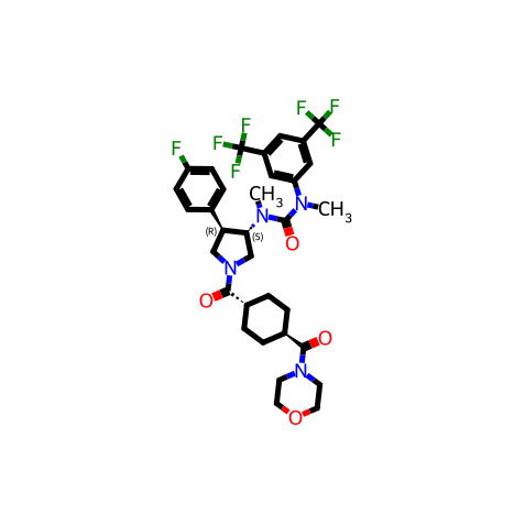 CN(C(=O)N(C)[C@@H]1CN(C(=O)[C@H]2CC[C@H](C(=O)N3CCOCC3)CC2)C[C@H]1c1ccc(F)cc1)c1cc(C(F)(F)F)cc(C(F)(F)F)c1